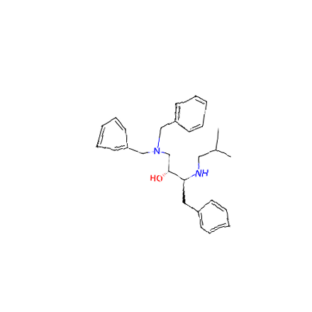 CC(C)CN[C@@H](Cc1ccccc1)[C@H](O)CN(Cc1ccccc1)Cc1ccccc1